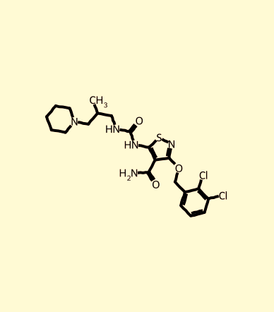 CC(CNC(=O)Nc1snc(OCc2cccc(Cl)c2Cl)c1C(N)=O)CN1CCCCC1